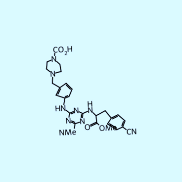 CNc1nc(Nc2cccc(CN3CCN(C(=O)O)CC3)c2)nc(NC(Cc2ccc(C#N)cc2)C(=O)OC)n1